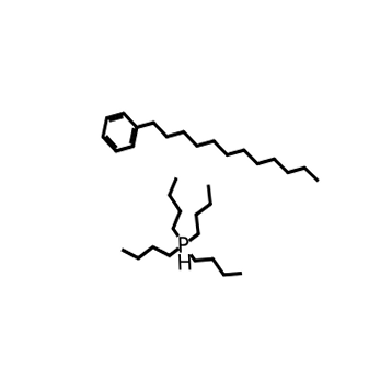 CCCCCCCCCCCCc1ccccc1.CCCC[PH](CCCC)(CCCC)CCCC